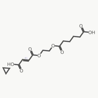 C1CC1.O=C(O)/C=C/C(=O)OCCOC(=O)CCCCC(=O)O